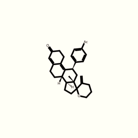 C=C1CCCOC12CC[C@H]1[C@@H]3CCC4=CC(=O)CCC4=C3[C@@H](c3ccc(C(C)=O)cc3)C[C@@]12C